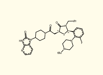 CC(C)CN1C(=O)[C@H](CC(=O)N2CCC(n3c(=O)[nH]c4ncccc43)CC2)S[C@@H]1c1cccc(F)c1N1CCN(C(C)(C)C)CC1